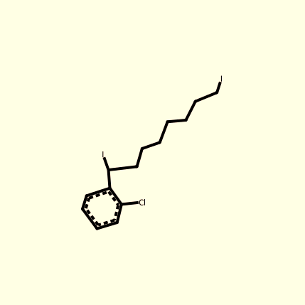 Clc1ccccc1C(I)CCCCCCCI